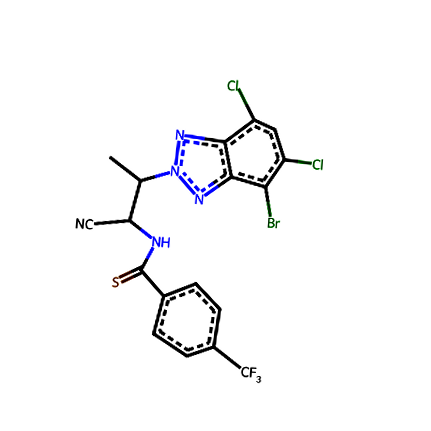 CC(C(C#N)NC(=S)c1ccc(C(F)(F)F)cc1)n1nc2c(Cl)cc(Cl)c(Br)c2n1